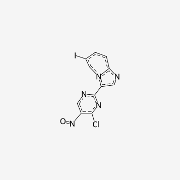 O=Nc1cnc(-c2cnc3ccc(I)cn23)nc1Cl